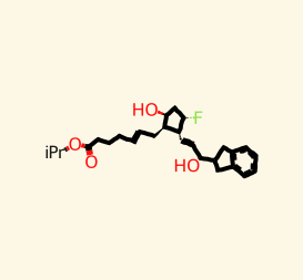 CC(C)OC(=O)CCCC=CC[C@@H]1[C@@H](C=C[C@@H](O)C2Cc3ccccc3C2)[C@@H](F)C[C@@H]1O